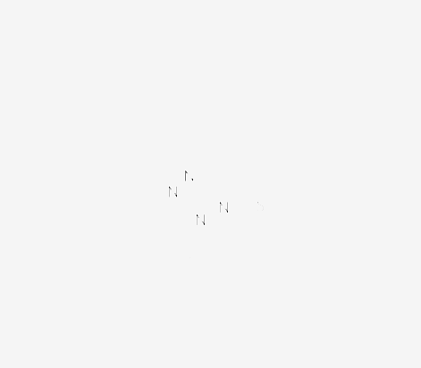 c1ccc(/N=N/c2ccccn2)cc1.c1ccc2scnc2c1